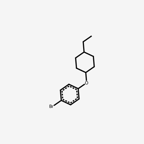 CCC1CCC(Oc2ccc(Br)cc2)CC1